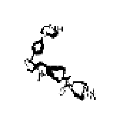 CCC(Cc1ccc(C(C)C(=O)N2CCNCC2)cc1)(C(=O)c1ccc(N2CCNCC2)cc1)N(C)C